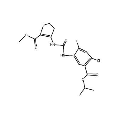 COC(=O)C1=C(NC(=O)Nc2cc(C(=O)OC(C)C)c(Cl)cc2F)CCS1